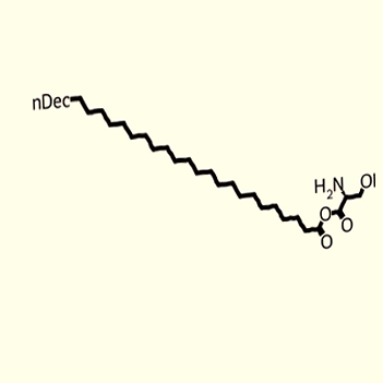 CCCCCCCCCCCCCCCCCCCCCCCCCCCCCCCCC(=O)OC(=O)[C@@H](N)CO